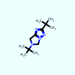 CC(C)(C)c1nc2n(n1)CN(C(C)(C)C)C2